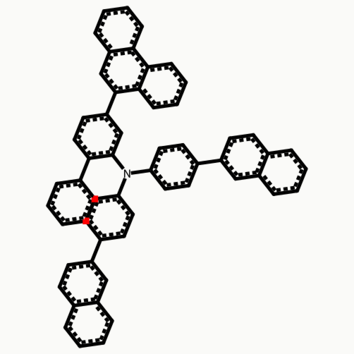 c1ccc(-c2ccc(-c3cc4ccccc4c4ccccc34)cc2N(c2ccc(-c3ccc4ccccc4c3)cc2)c2ccc(-c3ccc4ccccc4c3)cc2)cc1